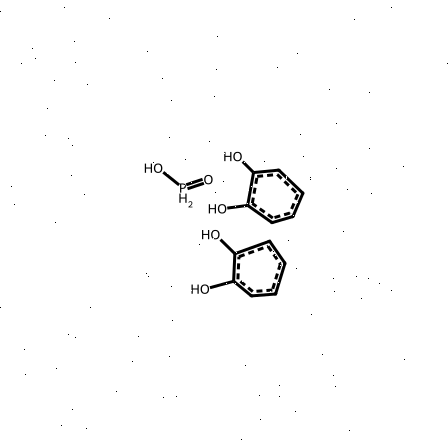 O=[PH2]O.Oc1ccccc1O.Oc1ccccc1O